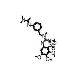 COc1cc2c(c(OC)c1OC)S(=O)(=O)NC(N(C)Cc1cccc(/N=C(\C)N(C)C)c1)=N2